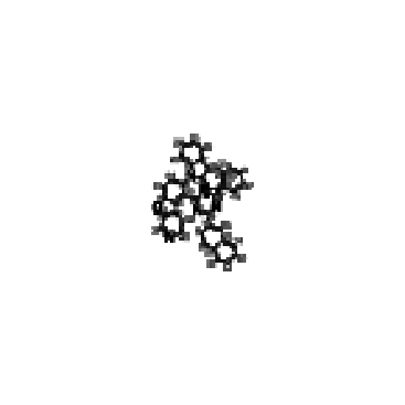 c1ccc(-c2nc(-c3ccc4ccccc4c3)nc(-c3c(-n4c5ccccc5c5ccccc54)ccc4oc5cnccc5c34)n2)cc1